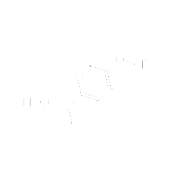 C[C@H](C(=O)O)c1ccc(OC(F)(F)F)cc1